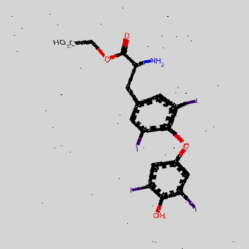 NC(Cc1cc(I)c(Oc2cc(I)c(O)c(I)c2)c(I)c1)C(=O)OCC(=O)O